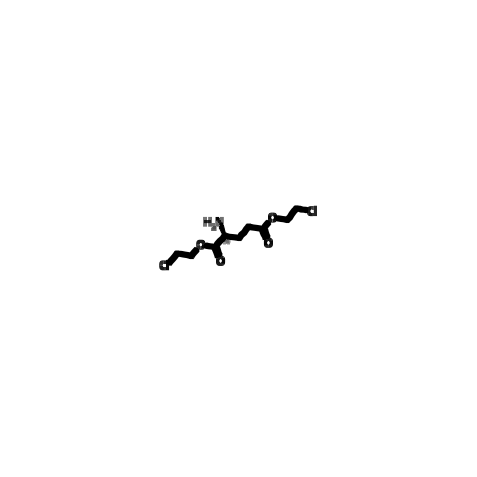 N[C@@H](CCC(=O)OCCCl)C(=O)OCCCl